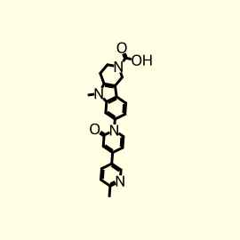 Cc1ccc(-c2ccn(-c3ccc4c5c(n(C)c4c3)CCN(C(=O)O)C5)c(=O)c2)cn1